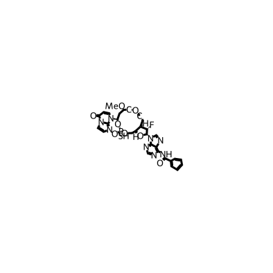 CO[C@@H]1COCC[C@H]2[C@H](F)[C@H](n3cnc4c(NC(=O)c5ccccc5)ncnc43)O[C@@H]2COP(=O)(S)O[C@@H](n2ccc(=O)n3ccnc23)C1